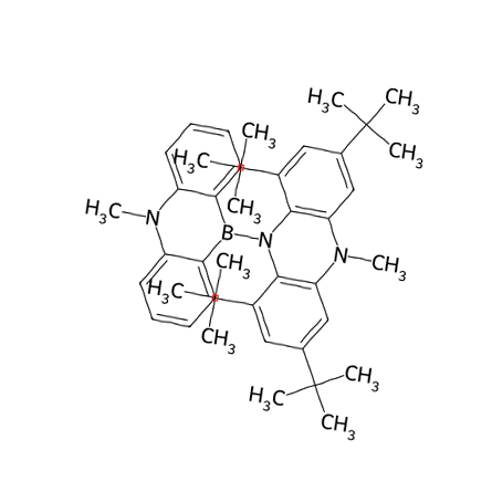 CN1c2ccccc2B(N2c3c(cc(C(C)(C)C)cc3C(C)(C)C)N(C)c3cc(C(C)(C)C)cc(C(C)(C)C)c32)c2ccccc21